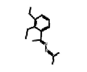 CCc1cccc(/C(C)=N/N=C(C)C)c1CC